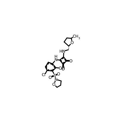 CC1CC[C@@H](CNc2c(Nc3ccc(Cl)c(S(=O)(=O)N4CCCO4)c3O)c(=O)c2=O)O1